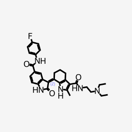 CCN(CC)CCNC(=O)c1c(C)[nH]c2c1CCC/C2=C1/C(=O)Nc2ccc(C(=O)Nc3ccc(F)cc3)cc21